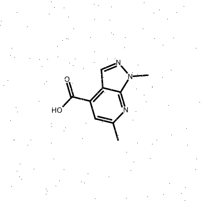 Cc1cc(C(=O)O)c2cnn(C)c2n1